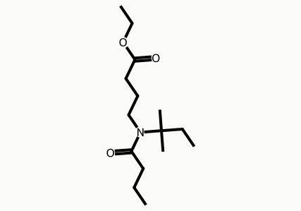 CCCC(=O)N(CCCC(=O)OCC)C(C)(C)CC